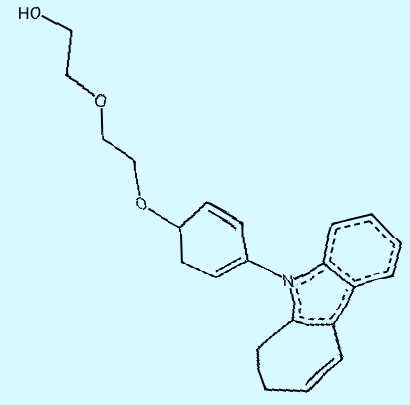 OCCOCCOC1C=CC(n2c3c(c4ccccc42)C=CCC3)=CC1